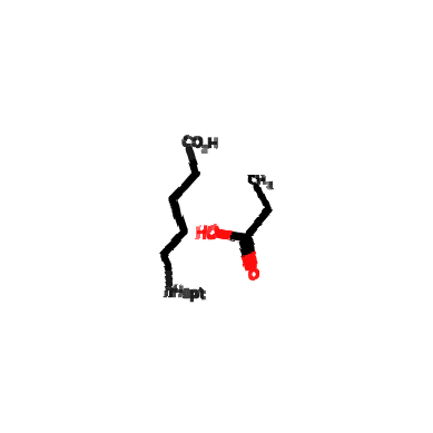 CCC(=O)O.CCCCCCCCCCCC(=O)O